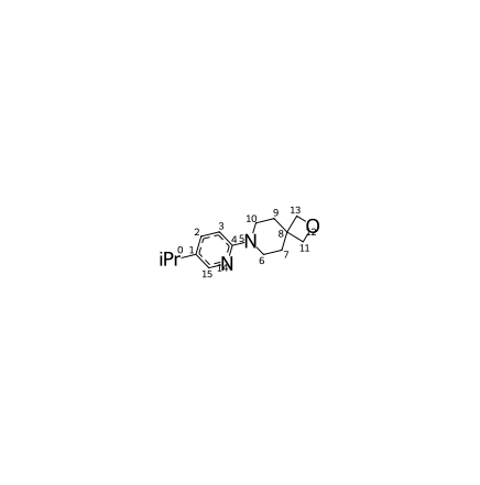 CC(C)c1ccc(N2CCC3(CC2)COC3)nc1